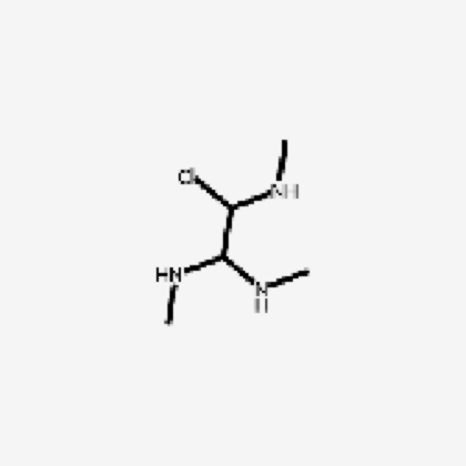 CN[C](NC)C(Cl)NC